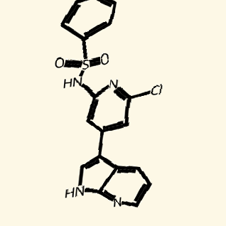 O=S(=O)(Nc1cc(-c2c[nH]c3ncccc23)cc(Cl)n1)c1ccccc1